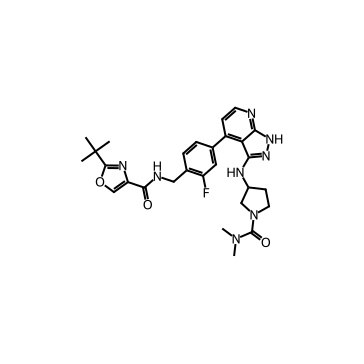 CN(C)C(=O)N1CCC(Nc2n[nH]c3nccc(-c4ccc(CNC(=O)c5coc(C(C)(C)C)n5)c(F)c4)c23)C1